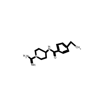 CCc1ccc(C(=O)NC2CCN(C(=N)N)CC2)cc1